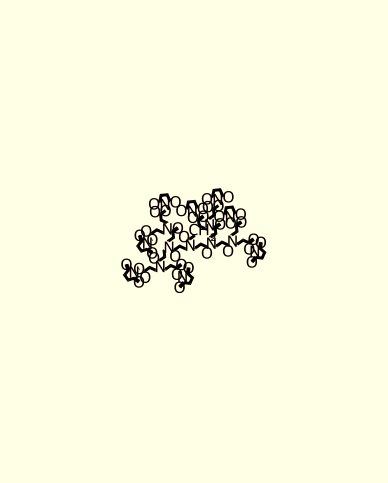 C=CC(=O)N(CCC(=O)N(CCC(=O)N(CCC(=O)ON1C(=O)CCC1=O)CCC(=O)ON1C(=O)CCC1=O)CCC(=O)N(CCC(=O)ON1C(=O)CCC1=O)CCC(=O)ON1C(=O)CCC1=O)CCC(=O)N(CCC(=O)N(CCC(=O)ON1C(=O)CCC1=O)CCC(=O)ON1C(=O)CCC1=O)CCC(=O)N(CCC(=O)ON1C(=O)CCC1=O)CCC(=O)ON1C(=O)CCC1=O